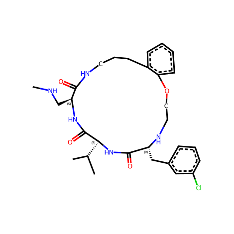 CNC[C@@H]1NC(=O)[C@@H](C(C)C)NC(=O)[C@@H](Cc2cccc(Cl)c2)NCCOc2ccccc2CCCNC1=O